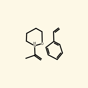 C=C(C)[SiH]1CCCCO1.C=Cc1ccccc1